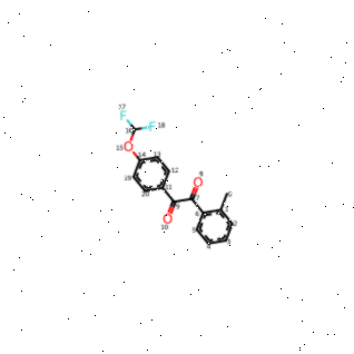 Cc1ccccc1C(=O)C(=O)c1ccc(OC(F)F)cc1